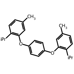 Cc1ccc(C(C)C)c(Oc2ccc(Oc3cc(C)ccc3C(C)C)cc2)c1